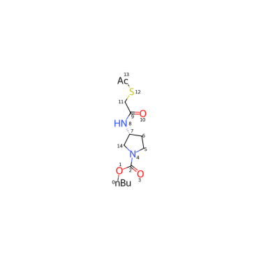 CCCCOC(=O)N1CC[C@@H](NC(=O)CSC(C)=O)C1